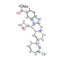 COC(=O)c1ccc2nc(CN3CC=C(C4=NC(Cl)=CC=CC4)CC3)n(CC3CCO3)c2c1